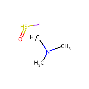 CN(C)C.O=[SH]I